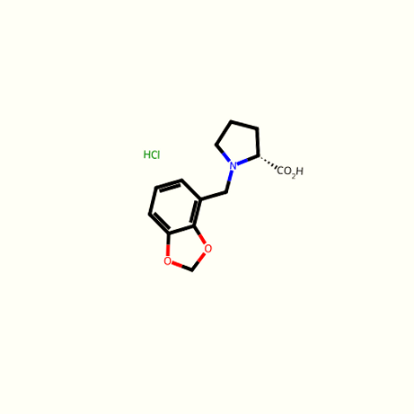 Cl.O=C(O)[C@H]1CCCN1Cc1cccc2c1OCO2